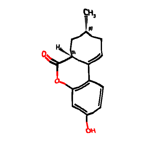 C[C@@H]1CC=C2c3ccc(O)cc3OC(=O)[C@H]2C1